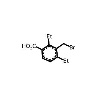 CCc1ccc(C(=O)O)c(CC)c1CBr